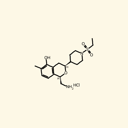 CCS(=O)(=O)N1CCC([C@@H]2Cc3c(ccc(C)c3O)[C@H](CN)O2)CC1.Cl